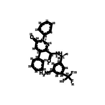 C[C@@H](NC(=O)c1nn(-c2ccccc2)c(=O)cc1-c1ccccc1)c1cc(N)cc(C(F)(F)F)c1